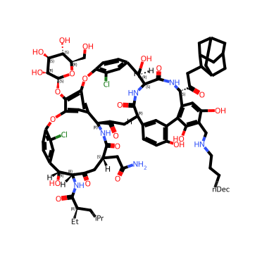 CCCCCCCCCCCCCNCc1c(O)cc2c(c1O)-c1cc(ccc1O)[C@H]1CC(=O)[C@@H]3NC(=O)[C@H](CC(N)=O)CC(=O)[C@H](NC(=O)[C@H](CC)CC(C)C)[C@H](O)c4ccc(c(Cl)c4)Oc4cc3cc(c4O[C@@H]3O[C@H](CO)[C@@H](O)[C@H](O)[C@H]3O)Oc3ccc(cc3Cl)[C@@H](O)[C@H](NC1=O)C(=O)N[C@@H]2C(=O)CC1C2CC3CC(C2)CC1C3